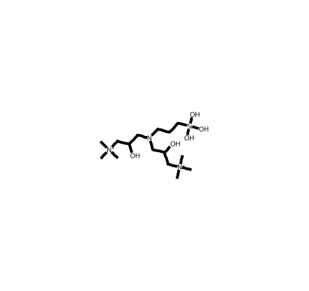 C[N+](C)(C)CC(O)CN(CCC[Si](O)(O)O)CC(O)C[N+](C)(C)C